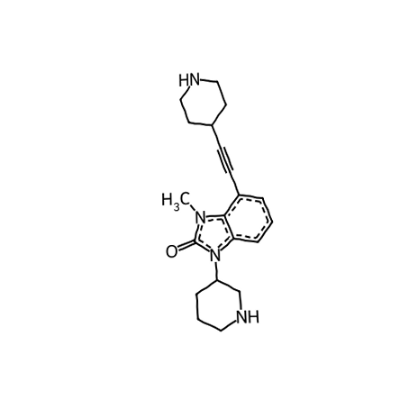 Cn1c(=O)n(C2CCCNC2)c2cccc(C#CC3CCNCC3)c21